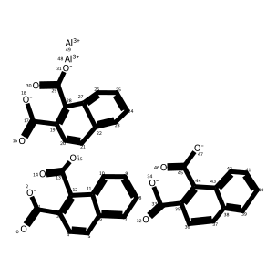 O=C([O-])c1ccc2ccccc2c1C(=O)[O-].O=C([O-])c1ccc2ccccc2c1C(=O)[O-].O=C([O-])c1ccc2ccccc2c1C(=O)[O-].[Al+3].[Al+3]